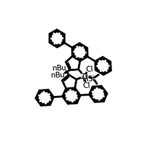 CCCCC1=Cc2c(-c3ccccc3)ccc(-c3ccccc3)c2[CH]1[Zr]([Cl])([Cl])([CH]1C(CCCC)=Cc2c(-c3ccccc3)ccc(-c3ccccc3)c21)[SiH](C)C